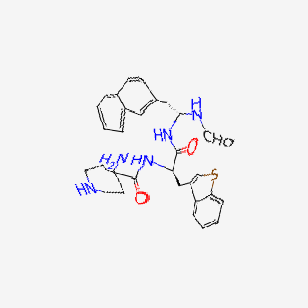 NC1(C(=O)N[C@H](Cc2csc3ccccc23)C(=O)N[C@H](Cc2ccc3ccccc3c2)NC=O)CCNCC1